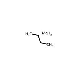 CCCC.[MgH2]